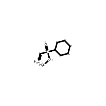 C=CP(=O)(OC)C1CCCCC1